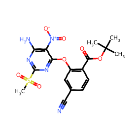 CC(C)(C)OC(=O)c1ccc(C#N)cc1Oc1nc(S(C)(=O)=O)nc(N)c1[N+](=O)[O-]